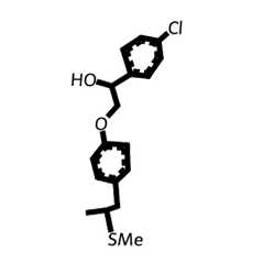 CSC(C)Cc1ccc(OCC(O)c2ccc(Cl)cc2)cc1